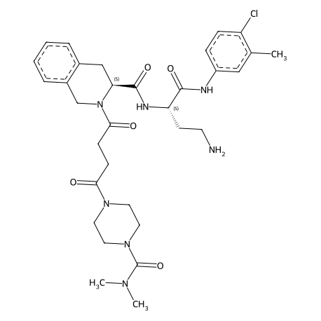 Cc1cc(NC(=O)[C@H](CCN)NC(=O)[C@@H]2Cc3ccccc3CN2C(=O)CCC(=O)N2CCN(C(=O)N(C)C)CC2)ccc1Cl